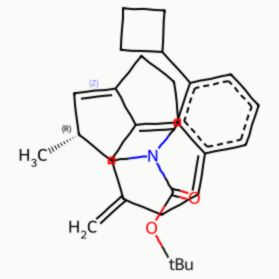 C=C1CC=c2cccc(C3CCC3)c2=C(/C2=C\[C@@H](C)CN(C(=O)OC(C)(C)C)CCC2)C1